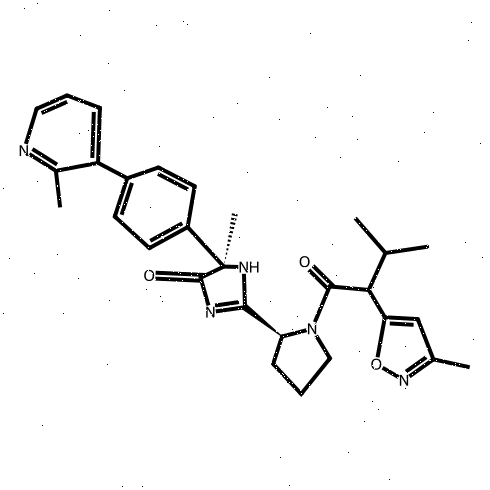 Cc1cc(C(C(=O)N2CCC[C@H]2C2=NC(=O)[C@@](C)(c3ccc(-c4cccnc4C)cc3)N2)C(C)C)on1